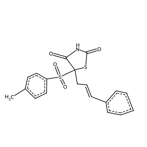 Cc1ccc(S(=O)(=O)C2(C/C=C/c3ccccc3)SC(=O)NC2=O)cc1